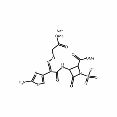 COC(=O)CON=C(C(=O)NC1C(=O)N(S(=O)(=O)[O-])C1C(=O)OC)c1csc(N)n1.[Na+]